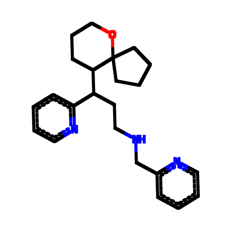 c1ccc(CNCCC(c2ccccn2)C2CCCOC23CCCC3)nc1